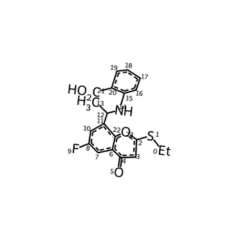 CCSc1cc(=O)c2cc(F)cc(C(C)Nc3ccccc3C(=O)O)c2o1